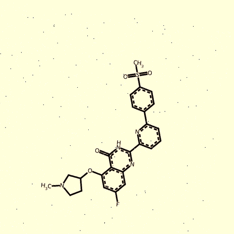 CN1CCC(Oc2cc(F)cc3nc(-c4cccc(-c5ccc(S(C)(=O)=O)cc5)n4)[nH]c(=O)c23)C1